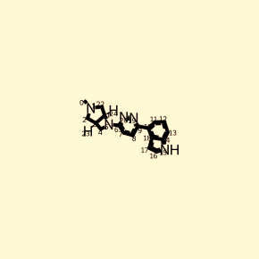 CN1C[C@@H]2CN(c3ccc(-c4cccc5[nH]ccc45)nn3)[C@@H]2C1